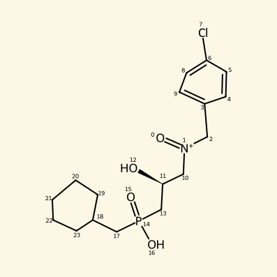 O=[N+](Cc1ccc(Cl)cc1)C[C@H](O)CP(=O)(O)CC1CCCCC1